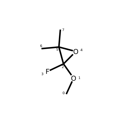 COC1(F)OC1(C)C